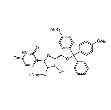 CCCCCCCCCOC1C(O)[C@H](COC(c2ccccc2)(c2ccc(OC)cc2)c2ccc(OC)cc2)O[C@@H]1n1ccc(=O)[nH]c1=O